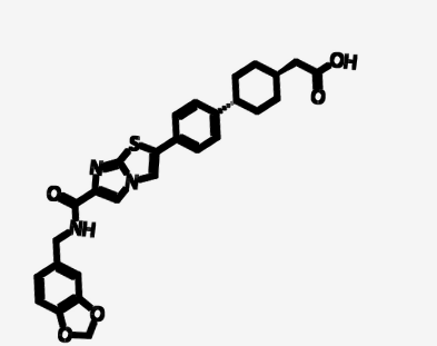 O=C(O)C[C@H]1CC[C@H](c2ccc(-c3cn4cc(C(=O)NCc5ccc6c(c5)OCO6)nc4s3)cc2)CC1